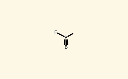 B#P(C)F